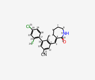 Cc1c(/C=C2\CCCCNC2=O)cc(C#N)cc1-c1ccc(Cl)cc1F